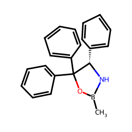 CB1N[C@@H](c2ccccc2)C(c2ccccc2)(c2ccccc2)O1